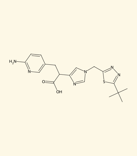 CC(C)(C)c1nnc(Cn2cnc(C(Cc3ccc(N)nc3)C(=O)O)c2)s1